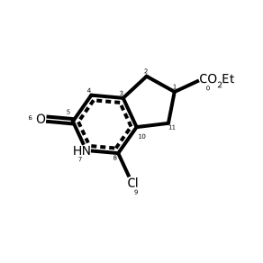 CCOC(=O)C1Cc2cc(=O)[nH]c(Cl)c2C1